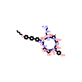 CCCCCOc1ccc(-c2ccc(-c3ccc(C(=O)NC4C[C@@H](O)C(OCCNCCN)NC(=O)C5[C@@H](O)[C@@H](C)CN5C(=O)C([C@@H](C)O)NC(=O)C([C@H](O)[C@@H](O)c5ccc(O)cc5)NC(=O)C5C[C@@H](O)CN5C(=O)C([C@@H](C)O)NC4=O)cc3)cc2)cc1